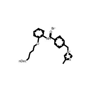 CCCCCCCCCCCCCCOc1ccccc1NC(=O)c1ccc(C[n+]2csc(C)c2)cc1.[Br-]